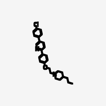 CCCC1CCN(CCOc2ccc(-c3ccc(-c4ccc(Cl)cc4)cn3)cc2)CC1